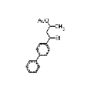 CCC(CC(C)OC(C)=O)c1ccc(-c2ccccc2)cc1